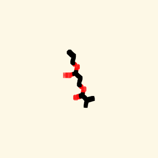 C=CCOC(O)CCOC(=O)C(=C)C